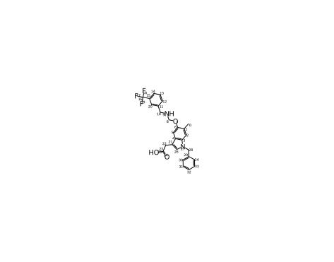 Cc1cc2c(cc1OCNCc1cccc(C(F)(F)F)c1)c(CC(=O)O)cn2Cc1ccccc1